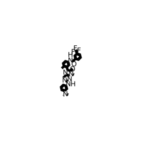 Cc1ccc(NC(=O)c2cccc(C(F)(F)F)c2)cc1-c1nc2cnc(Nc3cccc(N(C)C)c3)nc2n(C)c1=O